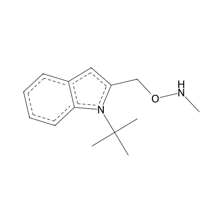 CNOCc1cc2ccccc2n1C(C)(C)C